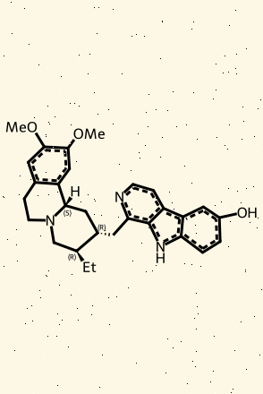 CC[C@H]1CN2CCc3cc(OC)c(OC)cc3[C@@H]2C[C@@H]1Cc1nccc2c1[nH]c1ccc(O)cc12